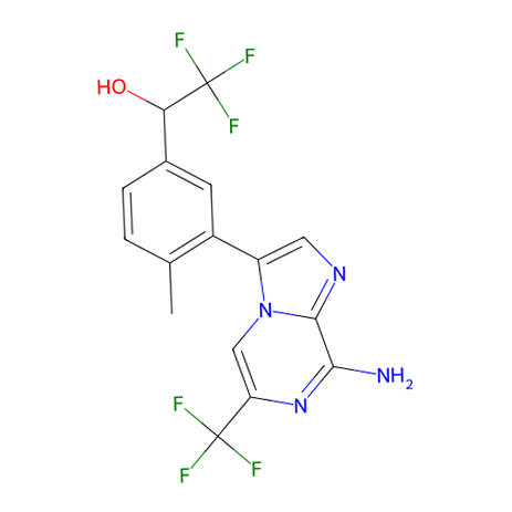 Cc1ccc(C(O)C(F)(F)F)cc1-c1cnc2c(N)nc(C(F)(F)F)cn12